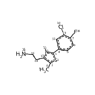 Cc1sc(-c2ccc(F)c(Cl)c2)nc1CCN